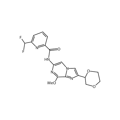 COc1nc(NC(=O)c2cccc(C(F)F)n2)cn2cc(C3COCCO3)nc12